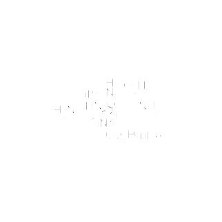 CC(=O)O.CCCCCCCCCCCCCCCC(=O)N[C@@H](CCCCN)C(=O)N[C@H](C(=O)N[C@@H](CCCCN)C(=O)O)C(C)C